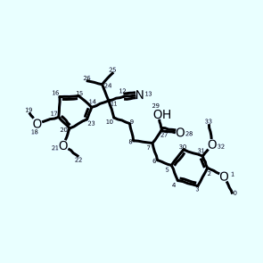 COc1ccc(CC(CCCC(C#N)(c2ccc(OC)c(OC)c2)C(C)C)C(=O)O)cc1OC